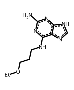 CCOCCCNc1nc(N)nc2[nH]cnc12